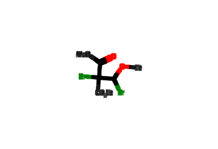 CCOC(=O)C(Br)(C(=O)OC)C(Br)OCC